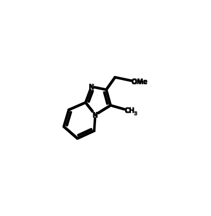 COCc1nc2ccccn2c1C